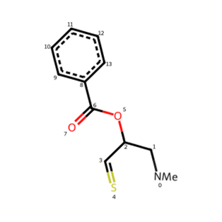 CNCC(C=S)OC(=O)c1ccccc1